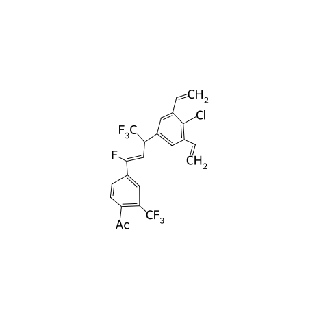 C=Cc1cc(C(/C=C(\F)c2ccc(C(C)=O)c(C(F)(F)F)c2)C(F)(F)F)cc(C=C)c1Cl